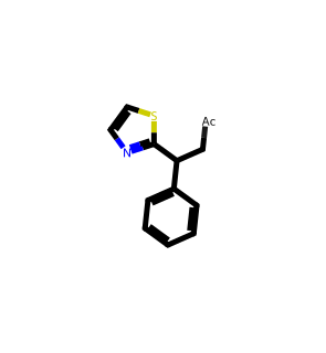 CC(=O)CC(c1ccccc1)c1nccs1